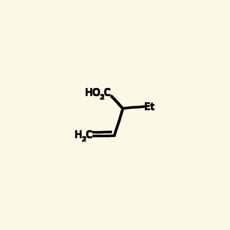 [CH2]CC(C=C)C(=O)O